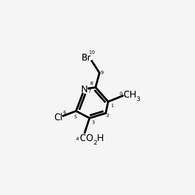 Cc1cc(C(=O)O)c(Cl)nc1CBr